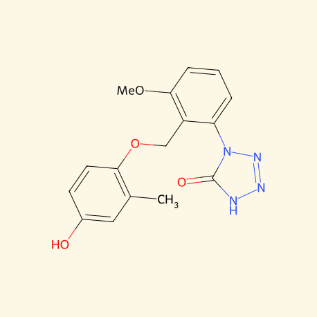 COc1cccc(-n2nn[nH]c2=O)c1COc1ccc(O)cc1C